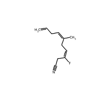 C=CC/C=C(/C)C/C=C(/F)CC#N